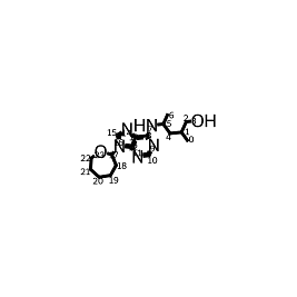 CC(CO)CC(C)Nc1ncnc2c1ncn2C1CCCCCO1